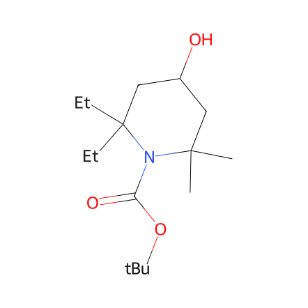 CCC1(CC)CC(O)CC(C)(C)N1C(=O)OC(C)(C)C